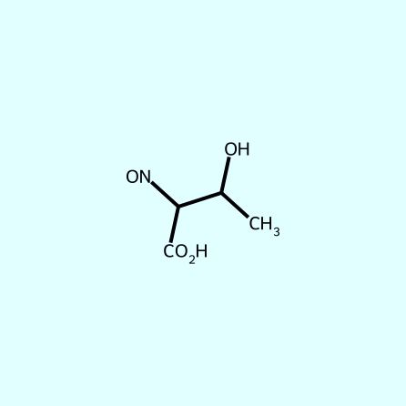 CC(O)C(N=O)C(=O)O